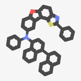 c1ccc(-c2nc3ccc4oc5ccc(N(c6ccccc6)c6ccc(-c7cccc8ccccc78)c7ccccc67)cc5c4c3s2)cc1